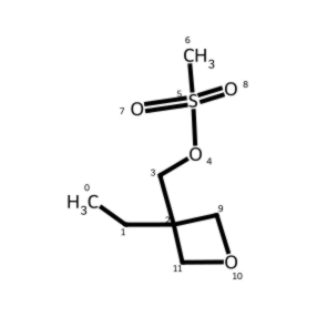 CCC1(COS(C)(=O)=O)COC1